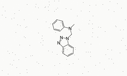 CN(Cn1nnc2ccccc21)c1ccccc1